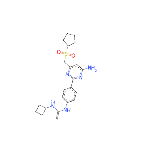 C=C(Nc1ccc(-c2nc(N)cc(CS(=O)(=O)C3CCCC3)n2)cc1)NC1CCC1